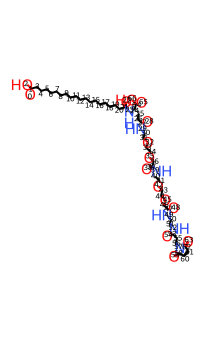 O=C(O)CCCCCCCCCCCCCCCCCCC(=O)N[C@@H](CCC(=O)NCCOCCOCC(=O)NCCOCCOCC(=O)NCCNC(=O)CCN1C(=O)C=CC1=O)C(=O)O